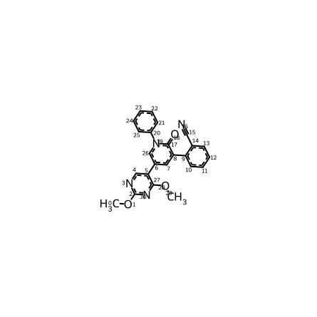 COc1ncc(-c2cc(-c3ccccc3C#N)c(=O)n(-c3ccccc3)c2)c(OC)n1